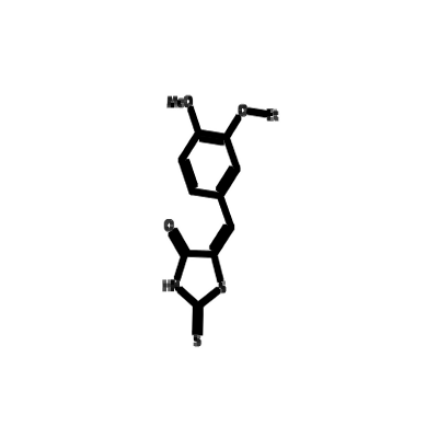 CCOc1cc(C=C2SC(=S)NC2=O)ccc1OC